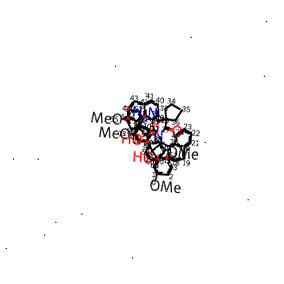 COc1cccc(C(O)(c2cccc(OC)c2)[C@H](c2cccc3ccccc23)N(C(=O)C2(C(N)=O)CCCC2)[C@@H](c2cccc3ccccc23)C(O)(c2cccc(OC)c2)c2cccc(OC)c2)c1